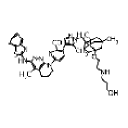 Cc1c(Nc2nc3ccccc3s2)nnc2c1CCCN2c1ccc(-c2cnn(CC3CC4(C)CC5(C)CC3CC(OCCNCCCO)(C4)C5)c2C)c(C(=O)O)n1